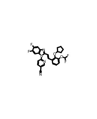 N#Cc1ccc(-n2c(C=Cc3cccc(OC(F)F)c3OC3CCCC3)nc3cc(F)c(F)cc32)nc1